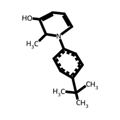 CC1C(O)=CC=CN1c1ccc(C(C)(C)C)cc1